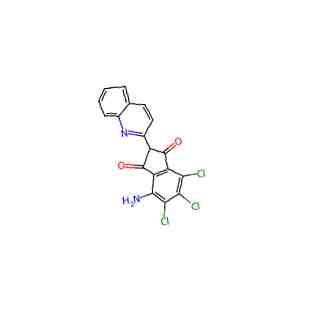 Nc1c(Cl)c(Cl)c(Cl)c2c1C(=O)C(c1ccc3ccccc3n1)C2=O